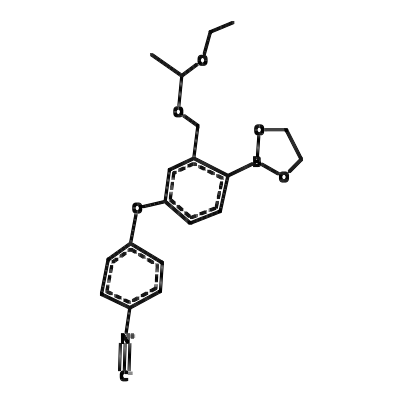 [C-]#[N+]c1ccc(Oc2ccc(B3OCCO3)c(COC(C)OCC)c2)cc1